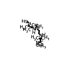 C/C(=N\O)C(C)(C)NCCN(C)NC(C)(C)/C(C)=N/O